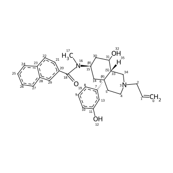 C=CCN1CC[C@@]2(c3cccc(O)c3)C[C@@H](N(C)C(=O)c3ccc4ccccc4c3)CC(O)[C@@H]2C1